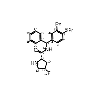 CC(C)c1ccc([C@@H](NC(=O)[C@@H]2C[C@@H](F)CN2)c2ccccc2)cc1F